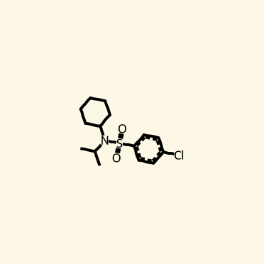 CC(C)N(C1CCCCC1)S(=O)(=O)c1ccc(Cl)cc1